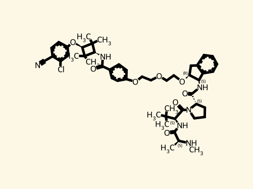 CN[C@@H](C)C(=O)N[C@H](C(=O)N1CCC[C@H]1C(=O)N[C@H]1c2ccccc2C[C@H]1OCCOCCOc1ccc(C(=O)N[C@H]2C(C)(C)[C@H](Oc3ccc(C#N)c(Cl)c3)C2(C)C)cc1)C(C)(C)C